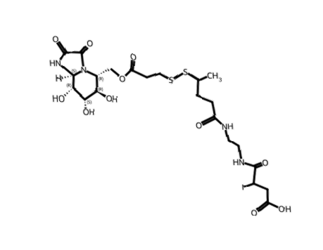 CC(CCC(=O)NCCNC(=O)C(I)CC(=O)O)SSCCC(=O)OC[C@@H]1[C@@H](O)[C@H](O)[C@H](O)[C@H]2NC(=O)C(=O)N12